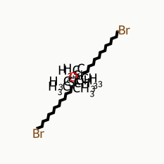 CC(C)(CCCCCCCCCCCCBr)[Si](C)(C)O[Si](C)(C)C(C)(C)CCCCCCCCCCCCBr